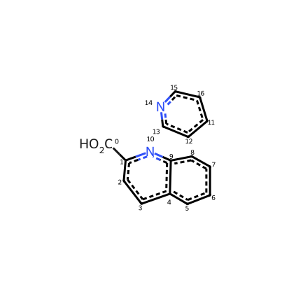 O=C(O)c1ccc2ccccc2n1.c1ccncc1